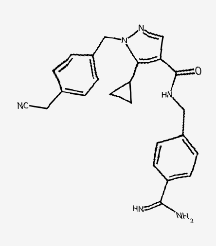 N#CCc1ccc(Cn2ncc(C(=O)NCc3ccc(C(=N)N)cc3)c2C2CC2)cc1